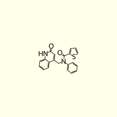 O=C(c1cccs1)N(Cc1cc(=O)[nH]c2ccccc12)c1ccccc1